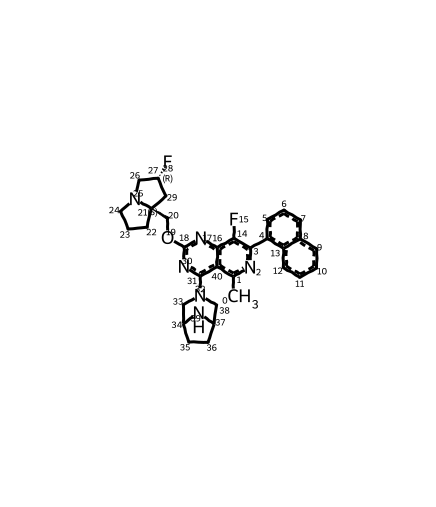 Cc1nc(-c2cccc3ccccc23)c(F)c2nc(OC[C@@]34CCCN3C[C@H](F)C4)nc(N3CC4CCC(C3)N4)c12